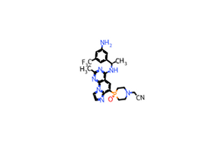 Cc1nc(N[C@H](C)c2cc(N)cc(C(F)(F)F)c2)c2cc(P3(=O)CCN(CC#N)CC3)c3nccn3c2n1